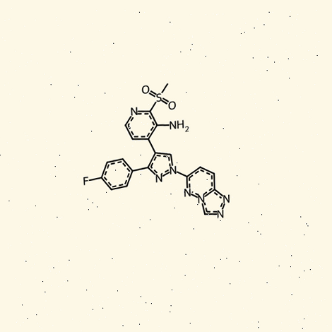 CS(=O)(=O)c1nccc(-c2cn(-c3ccc4nncn4n3)nc2-c2ccc(F)cc2)c1N